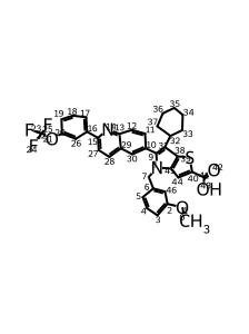 COc1cccc(Cn2c(-c3ccc4nc(-c5cccc(OC(F)(F)F)c5)ccc4c3)c(C3CCCCC3)c3sc(C(=O)O)cc32)c1